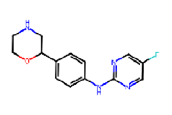 Fc1cnc(Nc2ccc(C3CNCCO3)cc2)nc1